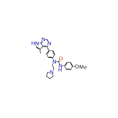 COc1ccc(NC(=O)N(CCN2CCCC2)c2ccc(-c3ncnc4[nH]cc(C)c34)cc2)cc1